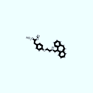 CCOC(Cc1ccc(OCCNCC2C3=CC=CCC3=CCc3ccccc32)cc1)C(=O)O